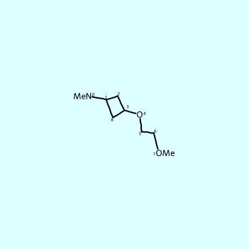 CNC1CC(OCCOC)C1